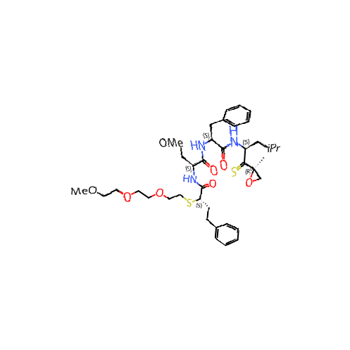 COCCOCCOCCS[C@@H](CCc1ccccc1)C(=O)N[C@@H](COC)C(=O)N[C@@H](Cc1ccccc1)C(=O)N[C@@H](CC(C)C)C(=S)[C@@]1(C)CO1